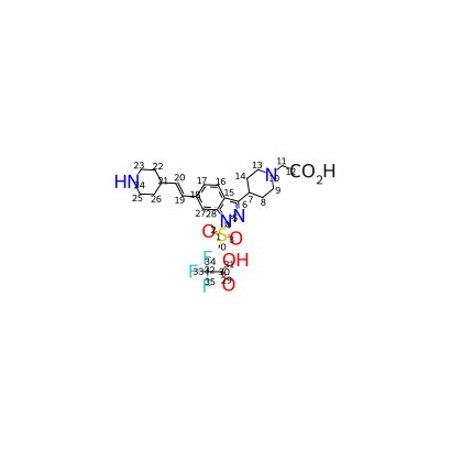 CS(=O)(=O)n1nc(C2CCN(CC(=O)O)CC2)c2ccc(C=CC3CCNCC3)cc21.O=C(O)C(F)(F)F